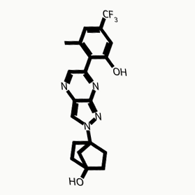 Cc1cc(C(F)(F)F)cc(O)c1-c1cnc2cn(C34CCC(O)(CC3)C4)nc2n1